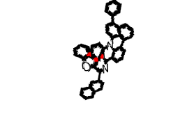 c1ccc(-c2ccc3c4c(cccc24)-c2cccc(-c4nc(-c5ccc6ccccc6c5)c5oc6ccccc6c5n4)c2N3c2ccccc2)cc1